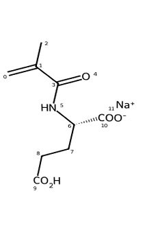 C=C(C)C(=O)N[C@@H](CCC(=O)O)C(=O)[O-].[Na+]